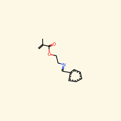 C=C(C)C(=O)OCCN=Cc1ccccc1